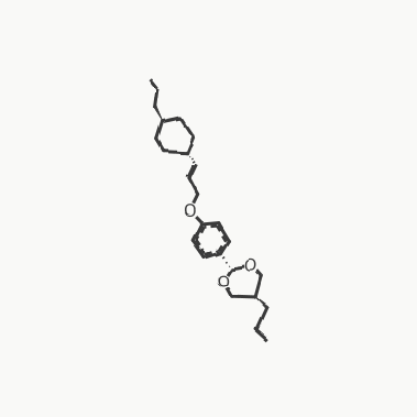 CCC[C@H]1CC[C@H](/C=C/COc2ccc([C@H]3OC[C@H](CCC)CO3)cc2)CC1